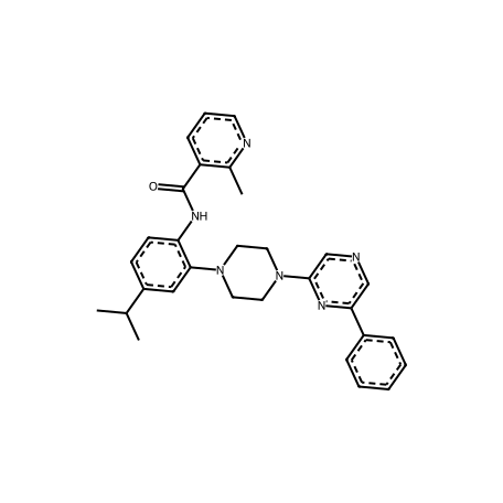 Cc1ncccc1C(=O)Nc1ccc(C(C)C)cc1N1CCN(c2cncc(-c3ccccc3)n2)CC1